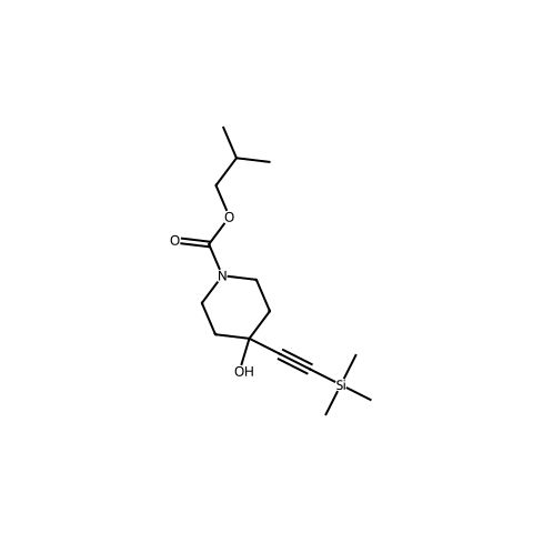 CC(C)COC(=O)N1CCC(O)(C#C[Si](C)(C)C)CC1